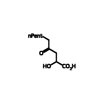 CCCCCCC(=O)CC(O)C(=O)O